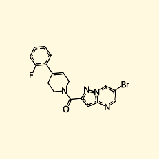 O=C(c1cc2ncc(Br)cn2n1)N1CC=C(c2ccccc2F)CC1